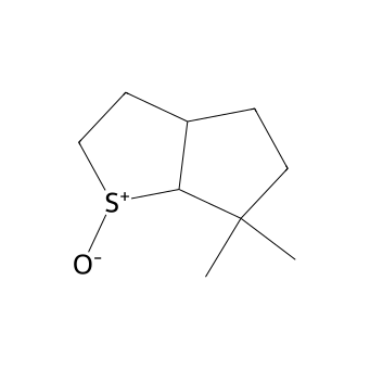 CC1(C)CCC2CC[S+]([O-])C21